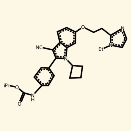 CCn1ccnc1CCOc1ccc2c(C#N)c(-c3ccc(NC(=O)OC(C)C)cc3)n(C3CCC3)c2c1